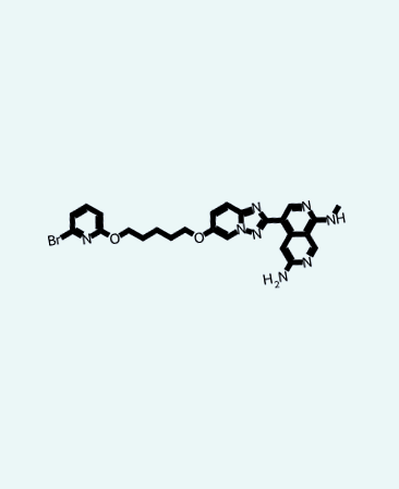 CNc1ncc(-c2nc3ccc(OCCCCCOc4cccc(Br)n4)cn3n2)c2cc(N)ncc12